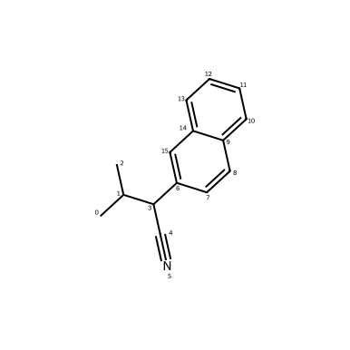 CC(C)C(C#N)c1ccc2ccccc2c1